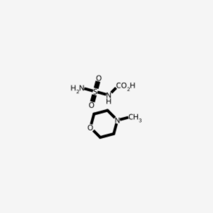 CN1CCOCC1.NS(=O)(=O)NC(=O)O